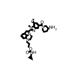 COc1cc(C(=O)N2CCC[C@@H](N)C2)cc2nc(-c3cc4cccc5c4n3CCN5CCCOC(=O)NC3CC3)n(C)c12